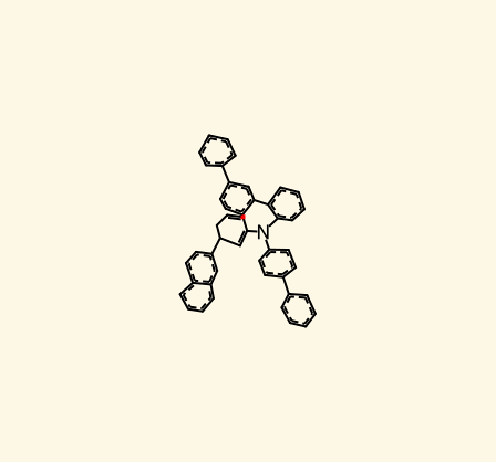 C1=CC(N(c2ccc(-c3ccccc3)cc2)c2ccccc2-c2cccc(-c3ccccc3)c2)=CC(c2ccc3ccccc3c2)C1